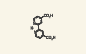 O=C(O)c1ccnc(-c2cc(C(=O)O)ccn2)c1.[K]